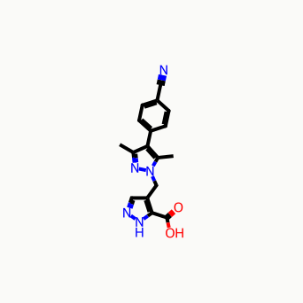 Cc1nn(Cc2cn[nH]c2C(=O)O)c(C)c1-c1ccc(C#N)cc1